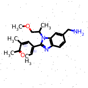 C/C=C(\C=C(\C)C(C)=O)c1nc2ccc(CN)cc2n1C(C)COC